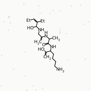 C=C(CNC(O)C(=CCC)CC)NC(C)C(=O)NC(CCCCN)C(=C)O